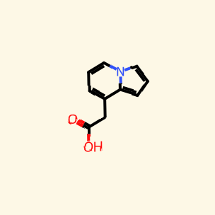 O=C(O)Cc1cccn2cccc12